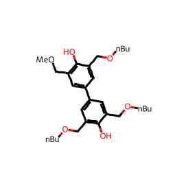 CCCCOCc1cc(-c2cc(COCCCC)c(O)c(COCCCC)c2)cc(COC)c1O